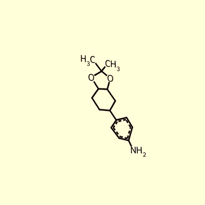 CC1(C)OC2CCC(c3ccc(N)cc3)CC2O1